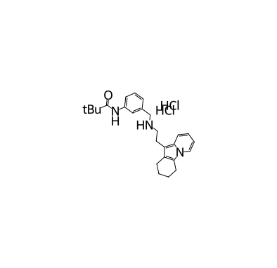 CC(C)(C)C(=O)Nc1cccc(CNCCc2c3c(n4ccccc24)CCCC3)c1.Cl.Cl